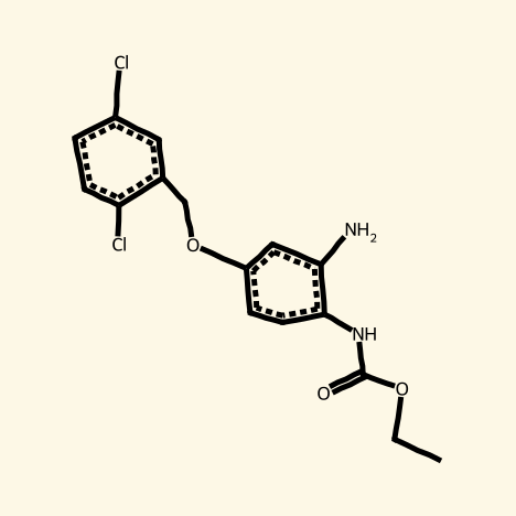 CCOC(=O)Nc1ccc(OCc2cc(Cl)ccc2Cl)cc1N